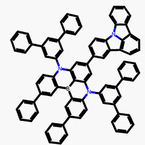 c1ccc(-c2cc(-c3ccccc3)cc(N3c4ccc(-c5ccccc5)cc4B4c5cc(-c6ccccc6)ccc5N(c5cc(-c6ccccc6)cc(-c6ccccc6)c5)c5cc(-c6ccc7c(c6)c6cccc8c9ccccc9n7c86)cc3c54)c2)cc1